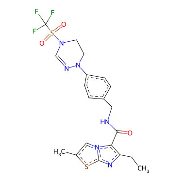 CCc1nc2sc(C)cn2c1C(=O)NCc1ccc(N2CCN(S(=O)(=O)C(F)(F)F)C=N2)cc1